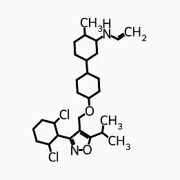 C=CNC1CC(C2CCC(OCc3c(C4C(Cl)CCCC4Cl)noc3C(C)C)CC2)CCC1C